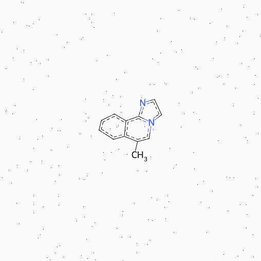 Cc1cn2ccnc2c2ccccc12